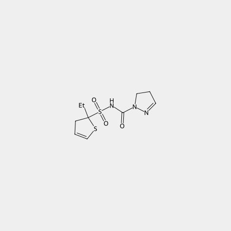 CCC1(S(=O)(=O)NC(=O)N2CCC=N2)CC=CS1